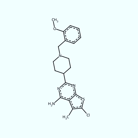 COc1ccccc1CN1CCC(c2nc(N)c3c(C)c(Cl)sc3n2)CC1